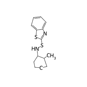 CC1CCCCC1NSc1nc2ccccc2s1